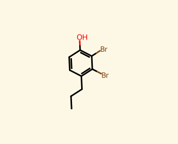 CCCc1ccc(O)c(Br)c1Br